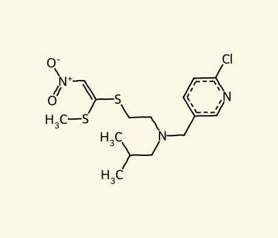 CS/C(=C\[N+](=O)[O-])SCCN(Cc1ccc(Cl)nc1)CC(C)C